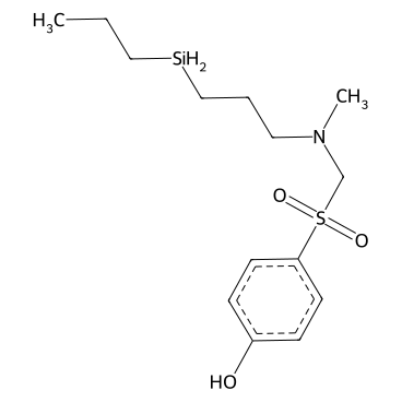 CCC[SiH2]CCCN(C)CS(=O)(=O)c1ccc(O)cc1